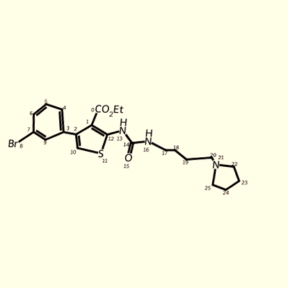 CCOC(=O)c1c(-c2cccc(Br)c2)csc1NC(=O)NCCCCN1CCCC1